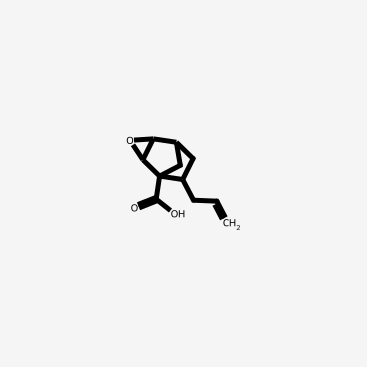 C=CCC1CC2CC1(C(=O)O)C1OC21